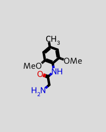 COc1cc(C)cc(OC)c1NC(=O)CN